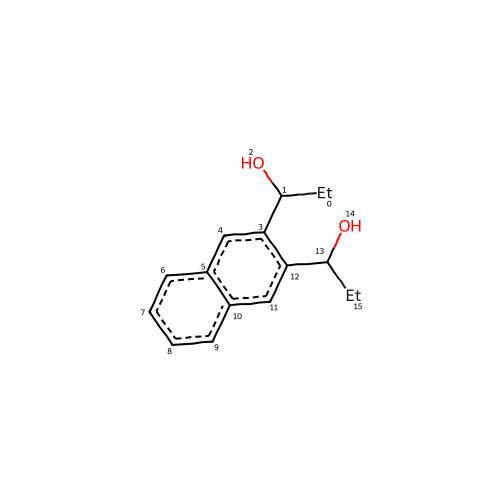 CCC(O)c1cc2ccccc2cc1C(O)CC